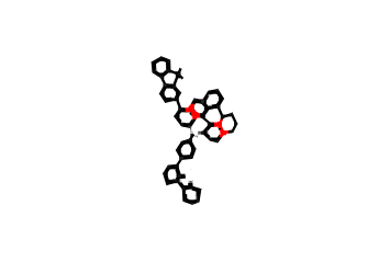 CC1(C)c2ccccc2-c2ccc(-c3ccc(N(c4ccc(-c5cccc6c5sc5ccccc56)cc4)c4ccccc4-c4cccc5cccc(C6CCCCC6)c45)cc3)cc21